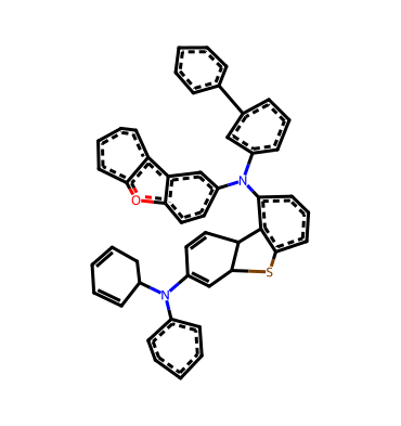 C1=CCC(N(C2=CC3Sc4cccc(N(c5cccc(-c6ccccc6)c5)c5ccc6oc7ccccc7c6c5)c4C3C=C2)c2ccccc2)C=C1